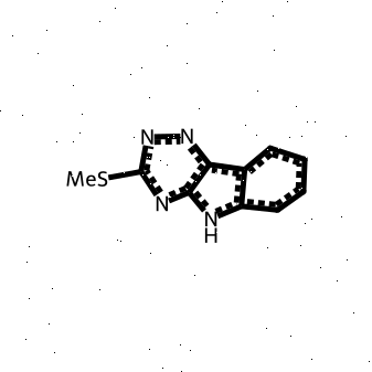 CSc1nnc2c(n1)[nH]c1ccccc12